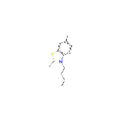 CCCCN1c2ccc(C)cc2SC1C